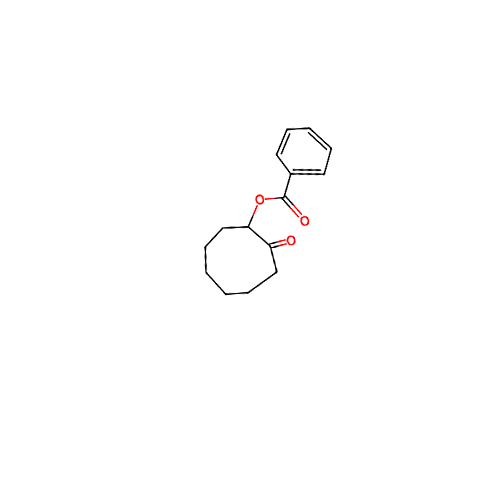 O=C(OC1CCCCCCC1=O)c1ccccc1